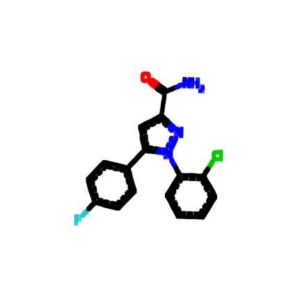 NC(=O)c1cc(-c2ccc(F)cc2)n(-c2ccccc2Cl)n1